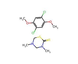 CN1CSC(=S)N(C)C1.COc1cc(Cl)c(OC)cc1Cl